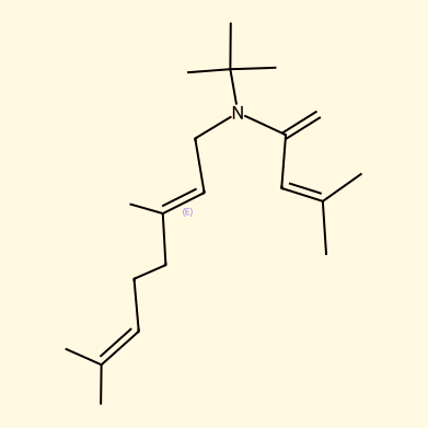 C=C(C=C(C)C)N(C/C=C(\C)CCC=C(C)C)C(C)(C)C